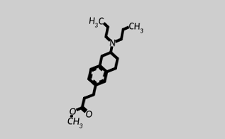 CCCN(CCC)C1CCc2cc(CCC(=O)OC)ccc2C1